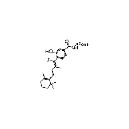 CCCCCNC(=O)c1ccc(/C(F)=C(C)/C=C/C2=C(C)CCCC2(C)C)c(O)c1